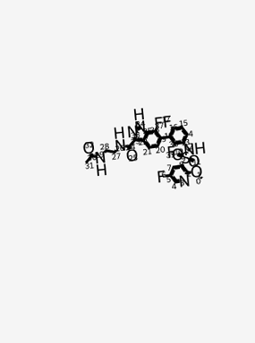 COc1ncc(F)cc1S(=O)(=O)Nc1ccc(F)c(-c2ccc3c(C(=O)NCCNC(C)=O)n[nH]c3c2F)c1F